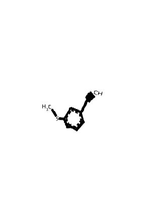 C#Cc1c[c]cc(SC)c1